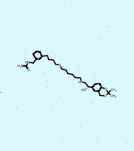 CC1(C)OCc2cc([C@H](O)CNCCCCCCOCCCCc3cccc(CNC(N)=O)c3)ccc2O1